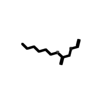 C=COCC(=C)OCCCCCC